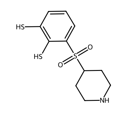 O=S(=O)(c1cccc(S)c1S)C1CCNCC1